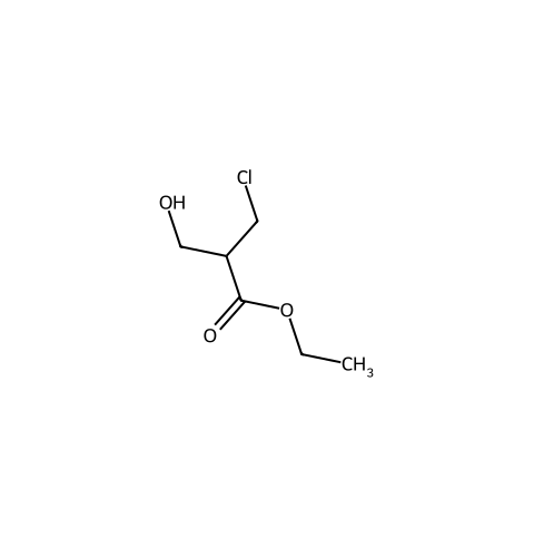 CCOC(=O)C(CO)CCl